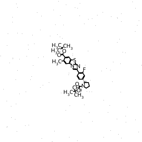 Cc1cc2c(cc1C(=O)OC(C)(C)C)sc1nc(-c3ccc([C@@H]4CCCN4C(=O)OC(C)(C)C)cc3F)cn12